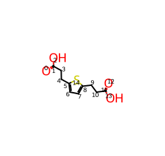 O=C(O)CCc1ccc(CCC(=O)O)s1